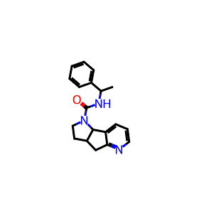 CC(NC(=O)N1CCC2Cc3ncccc3C21)c1ccccc1